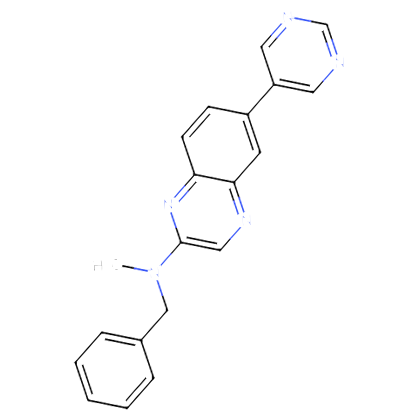 CN(Cc1ccccc1)c1cnc2cc(-c3cncnc3)ccc2n1